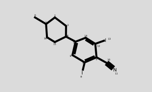 CC1CCC(c2cc(I)c(C#N)c(I)c2)CC1